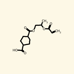 C=CC(=O)OC(C)COC(=O)C1CCC(C(=O)O)CC1